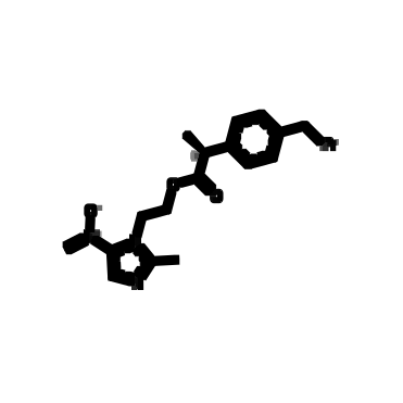 C=[N+]([O-])c1cnc(C)n1CCOC(=O)[C@@H](C)c1ccc(CC(C)C)cc1